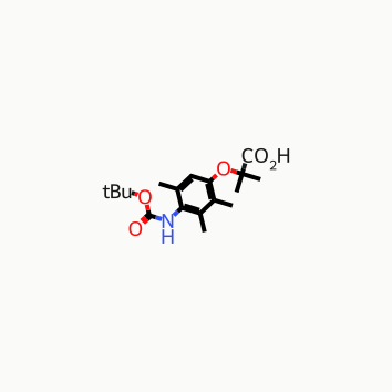 Cc1cc(OC(C)(C)C(=O)O)c(C)c(C)c1NC(=O)OC(C)(C)C